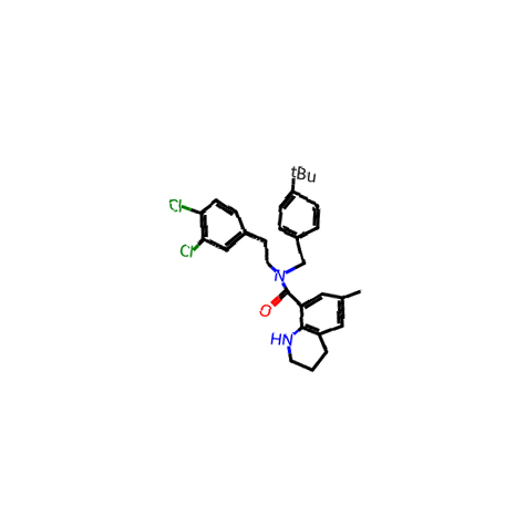 Cc1cc2c(c(C(=O)N(CCc3ccc(Cl)c(Cl)c3)Cc3ccc(C(C)(C)C)cc3)c1)NCCC2